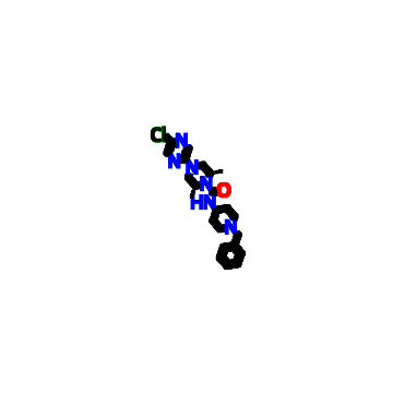 C[C@@H]1CN(c2cnc(Cl)cn2)C[C@H](C)N1C(=O)NC1CCN(Cc2ccccc2)CC1